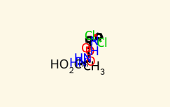 C[C@H](NCC(=O)O)C(=O)NCCOC(=O)Cc1ccccc1Nc1c(Cl)cccc1Cl